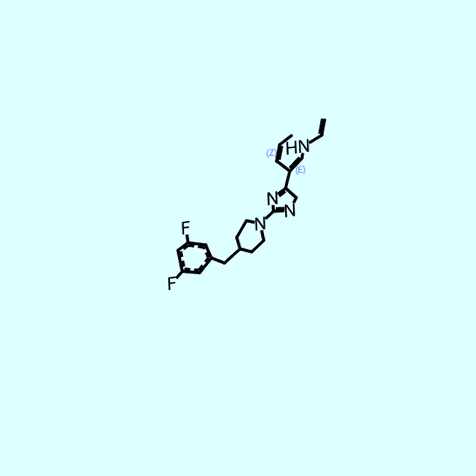 C=CN/C=C(\C=C/C)C1=NC(N2CCC(Cc3cc(F)cc(F)c3)CC2)=NC1